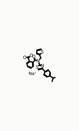 CC(C)c1ccc(-c2csc(N(Cc3cccs3)C(=O)c3ccccc3C(=O)[O-])n2)cc1.[Na+]